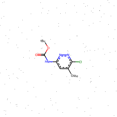 COc1cc(NC(=O)OC(C)(C)C)nnc1Cl